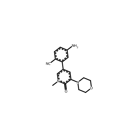 Cn1cc(-c2cc(N)ccc2C#N)cc(N2CCOCC2)c1=O